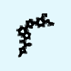 CC1CN(C(=O)N[C@H]2CCc3c(-c4nnc(-c5ccc(OC(C)C)c(C#N)c5)s4)cccc32)C1